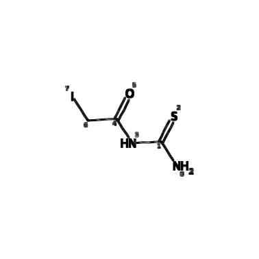 NC(=S)NC(=O)CI